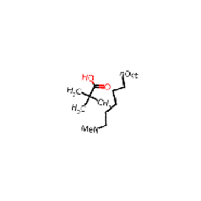 CC(C)(C)C(=O)O.CCCCCCCCCCCCCNC